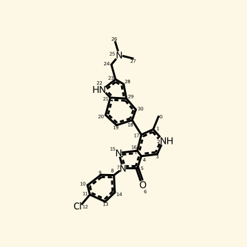 Cc1[nH]cc2c(=O)n(-c3ccc(Cl)cc3)nc-2c1-c1ccc2[nH]c(CN(C)C)cc2c1